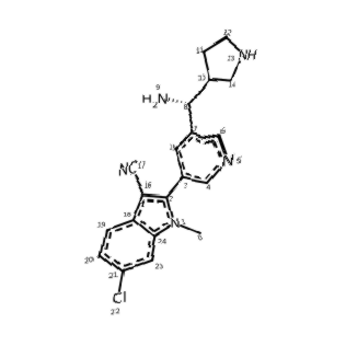 Cn1c(-c2cncc([C@H](N)C3CCNC3)c2)c(C#N)c2ccc(Cl)cc21